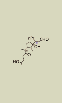 CCC/C(=C\C=O)[C@]1(O)CCC([C@H](C)C(=O)CCC(C)O)C1C